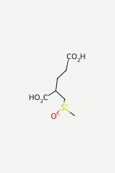 C[S+]([O-])CC(CCC(=O)O)C(=O)O